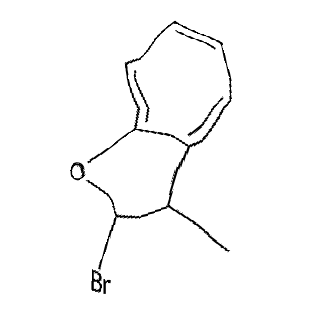 CC1c2ccccc2OC1Br